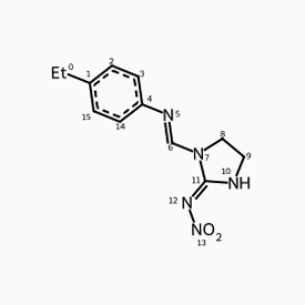 CCc1ccc(N=CN2CCNC2=N[N+](=O)[O-])cc1